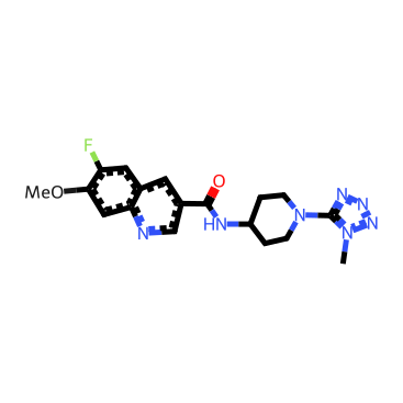 COc1cc2ncc(C(=O)NC3CCN(c4nnnn4C)CC3)cc2cc1F